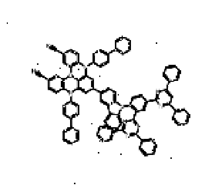 N#Cc1ccc2c(c1)B1c3cc(C#N)ccc3N(c3ccc(-c4ccccc4)cc3)c3cc(-c4ccc5c(c4)c4ccccc4n5-c4ccc(-c5nc(-c6ccccc6)cc(-c6ccccc6)n5)cc4-c4nc(-c5ccccc5)nc(-c5ccccc5)n4)cc(c31)N2c1ccc(-c2ccccc2)cc1